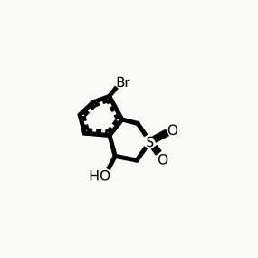 O=S1(=O)Cc2c(Br)cccc2C(O)C1